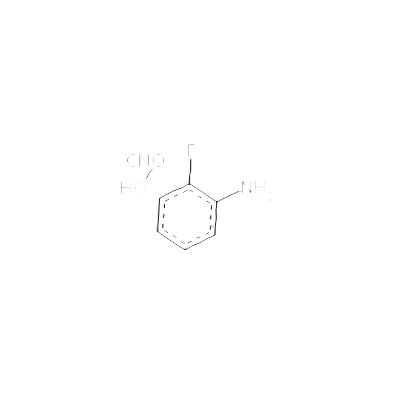 Nc1ccccc1F.O=CO